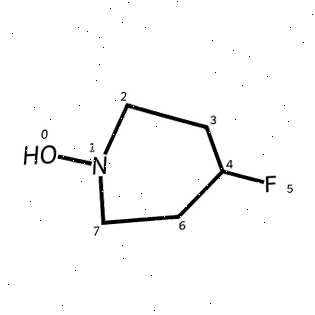 ON1CCC(F)CC1